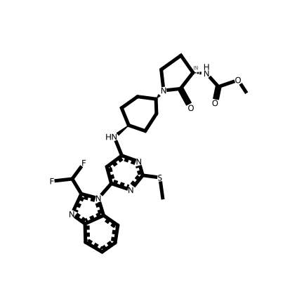 COC(=O)N[C@H]1CCN([C@H]2CC[C@H](Nc3cc(-n4c(C(F)F)nc5ccccc54)nc(SC)n3)CC2)C1=O